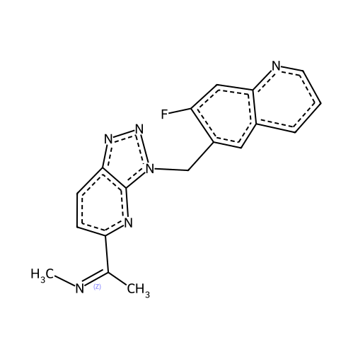 C/N=C(/C)c1ccc2nnn(Cc3cc4cccnc4cc3F)c2n1